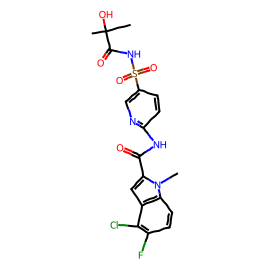 Cn1c(C(=O)Nc2ccc(S(=O)(=O)NC(=O)C(C)(C)O)cn2)cc2c(Cl)c(F)ccc21